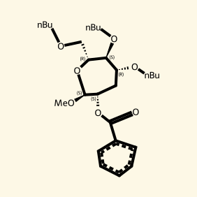 CCCCOC[C@H]1O[C@H](OC)[C@@H](OC(=O)c2ccccc2)C[C@@H](OCCCC)[C@@H]1OCCCC